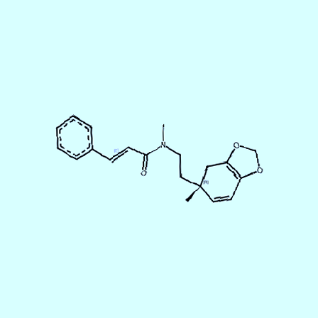 CN(CC[C@@]1(C)C=CC2=C(C1)OCO2)C(=O)/C=C/c1ccccc1